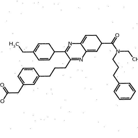 CCC1=CCC(c2nc3c(nc2CCCc2cccc(CC(=O)O)c2)=CC(C(=O)N(CC)CCCc2ccccc2)CC=3)C=C1